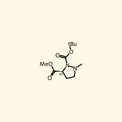 COC(=O)[C@@H]1CCN(C)N1C(=O)OC(C)(C)C